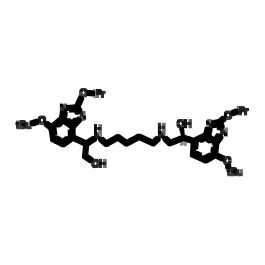 CC(C)Oc1nc2c(OC(C)(C)C)ccc(C(CO)NCCCCCNC[C@@H](O)c3ccc(OC(C)(C)C)c4nc(OC(C)C)sc34)c2s1